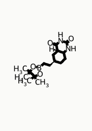 CC1(C)OB(CC[C@@H]2CCC3NC(=O)NC(=O)[C@H]3C2)OC1(C)C